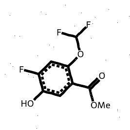 COC(=O)c1cc(O)c(F)cc1OC(F)F